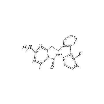 Cc1nc(N)nc2c1C(=O)NC(c1ccccc1-c1cccnc1F)C2